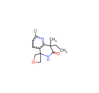 CCC1(C)C(=O)NC2(COC2)c2ccc(Cl)nc21